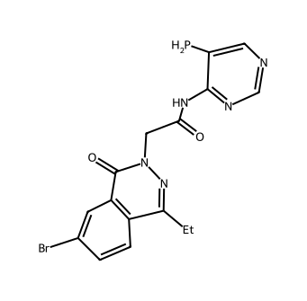 CCc1nn(CC(=O)Nc2ncncc2P)c(=O)c2cc(Br)ccc12